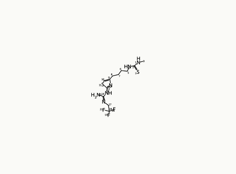 CNC(=S)NCCCCc1csc(N/C(N)=N\CC(F)(F)F)n1